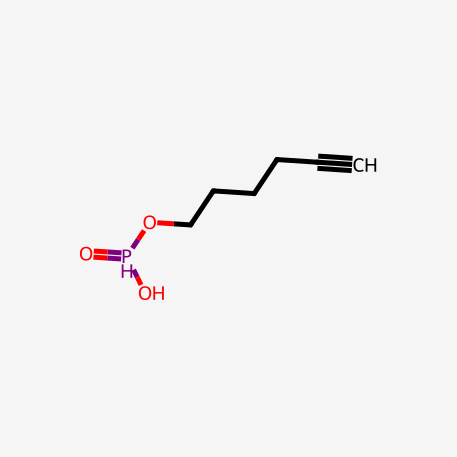 C#CCCCCO[PH](=O)O